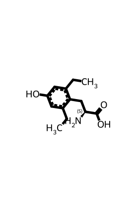 CCc1cc(O)cc(CC)c1C[C@H](N)C(=O)O